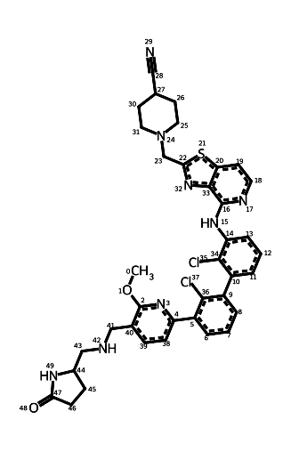 COc1nc(-c2cccc(-c3cccc(Nc4nccc5sc(CN6CCC(C#N)CC6)nc45)c3Cl)c2Cl)ccc1CNCC1CCC(=O)N1